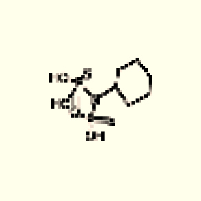 OP(O)(=S)N(C1CCCCC1)P(O)(O)=S